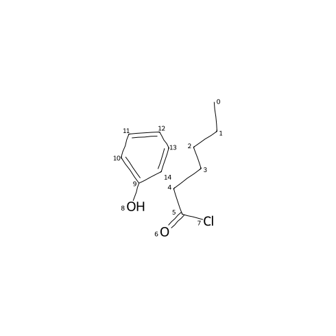 CCCCCC(=O)Cl.Oc1ccccc1